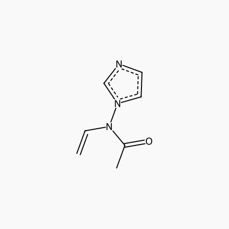 C=CN(C(C)=O)n1ccnc1